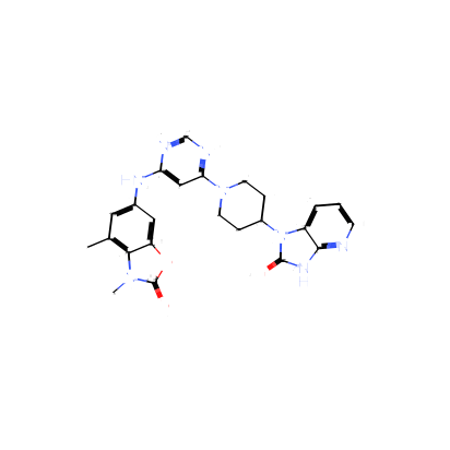 Cc1cc(Nc2cc(N3CCC(n4c(=O)[nH]c5ncccc54)CC3)ncn2)cc2oc(=O)n(C)c12